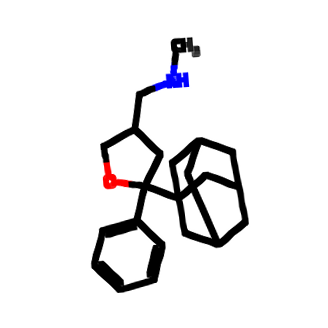 CNCC1COC(c2ccccc2)(C23CC4CC(CC(C4)C2)C3)C1